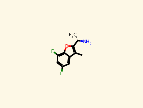 Cc1c([C@@H](N)C(F)(F)F)oc2c(F)cc(F)cc12